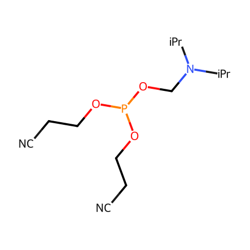 CC(C)N(COP(OCCC#N)OCCC#N)C(C)C